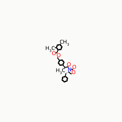 Cc1ccc(C(=O)OCc2ccc([C@H](C)C(=O)N3C(=O)OC[C@@H]3Cc3ccccc3)cc2)c(C)c1